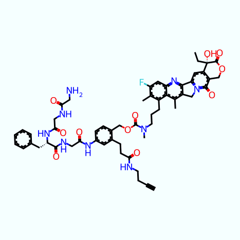 C#CCCNC(=O)CCc1cc(NC(=O)CNC(=O)[C@H](Cc2ccccc2)NC(=O)CNC(=O)CN)ccc1COC(=O)N(C)CCCc1c(C)c(F)cc2nc3c(c(C)c12)Cn1c-3cc2c(c1=O)COC(=O)[C@]2(O)CC